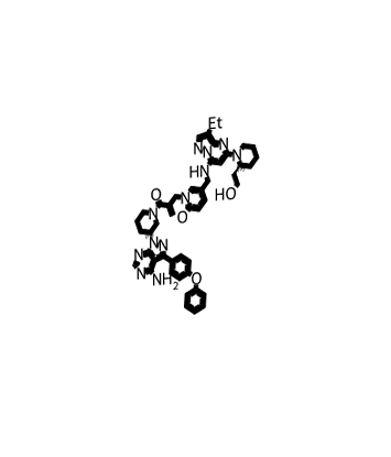 C=C(Cn1cc(CNc2cc(N3CCCC[C@H]3CCO)nc3c(CC)cnn23)ccc1=O)C(=O)N1CCC[C@@H](n2nc(-c3ccc(Oc4ccccc4)cc3)c3c(N)ncnc32)C1